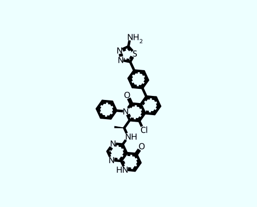 C[C@H](Nc1ncnc2[nH]ccc(=O)c12)c1c(Cl)c2cccc(-c3ccc(-c4nnc(N)s4)cc3)c2c(=O)n1-c1ccccc1